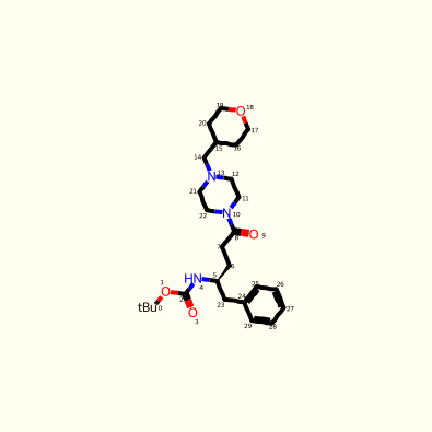 CC(C)(C)OC(=O)N[C@@H](CCC(=O)N1CCN(CC2CCOCC2)CC1)Cc1ccccc1